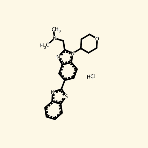 CN(C)Cc1nc2cc(-c3nc4ccccc4s3)ccc2n1C1CCOCC1.Cl